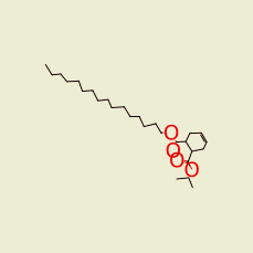 CCCCCCCCCCCCCCCCOC(=O)C1CC=CCC1C(=O)OC(C)C